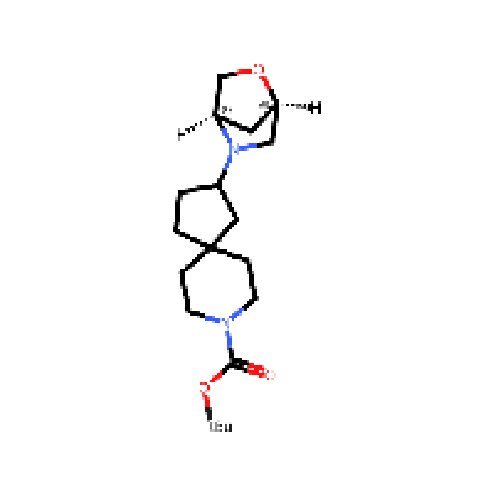 CC(C)(C)OC(=O)N1CCC2(CCC(N3C[C@H]4C[C@@H]3CO4)C2)CC1